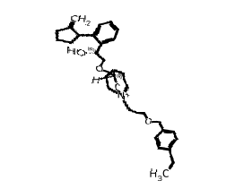 C=C1CCCC1c1ccccc1[C@@H](O)CO[C@H]1C[N+]2(CCOCc3ccc(CC)cc3)CCC1CC2